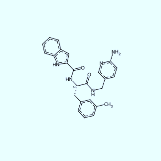 Cc1cccc(C[C@H](NC(=O)c2cc3ccccc3[nH]2)C(=O)NCc2ccc(N)nc2)c1